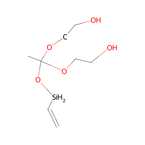 C=C[SiH2]OC(C)(OCCO)OCCO